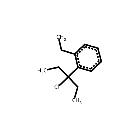 CCc1ccccc1C(Cl)(CC)CC